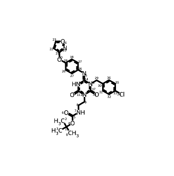 CC(C)(C)OC(=O)NCCn1c(=O)[nH]/c(=N\c2ccc(Oc3ccon3)cc2)n(Cc2ccc(Cl)cc2)c1=O